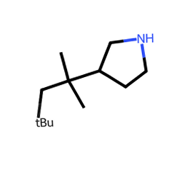 CC(C)(C)CC(C)(C)C1CCNC1